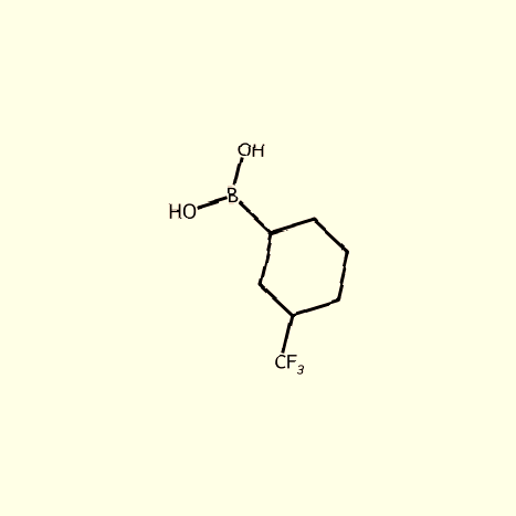 OB(O)C1CCCC(C(F)(F)F)C1